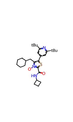 CC(C)(C)c1cc(-c2sc(C(=O)NC3CCC3)[n+]([O-])c2CC2CCCCC2)cc(C(C)(C)C)n1